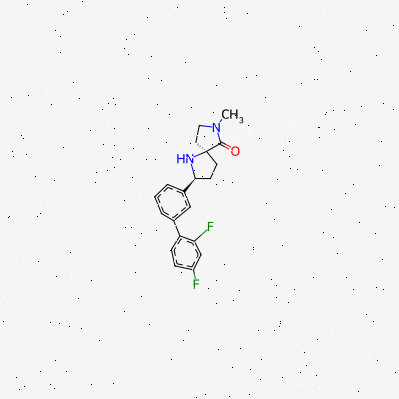 CN1CC[C@@]2(CC[C@@H](c3cccc(-c4ccc(F)cc4F)c3)N2)C1=O